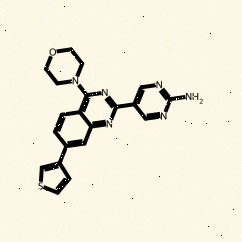 Nc1ncc(-c2nc(N3CCOCC3)c3ccc(-c4ccsc4)cc3n2)cn1